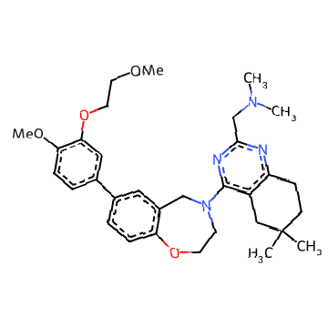 COCCOc1cc(-c2ccc3c(c2)CN(c2nc(CN(C)C)nc4c2CC(C)(C)CC4)CCO3)ccc1OC